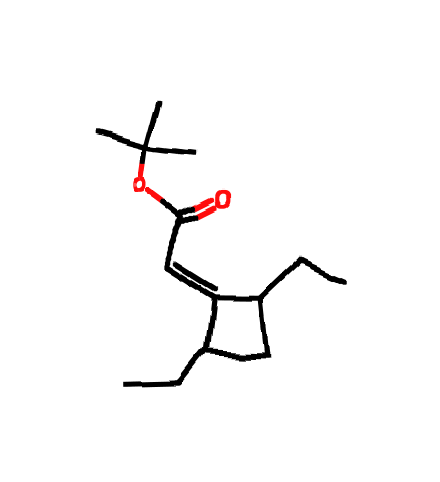 CCC1CC(CC)C1=CC(=O)OC(C)(C)C